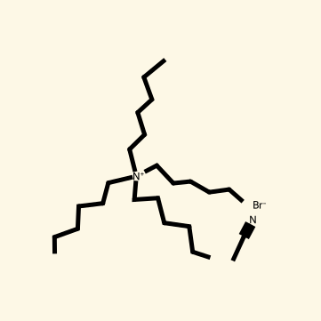 CC#N.CCCCCC[N+](CCCCCC)(CCCCCC)CCCCCC.[Br-]